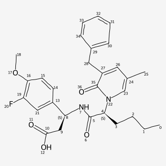 CCCC[C@@H](C(=O)N[C@@H](CC(=O)O)c1ccc(OC)c(F)c1)n1cc(C)cc(Cc2ccccc2)c1=O